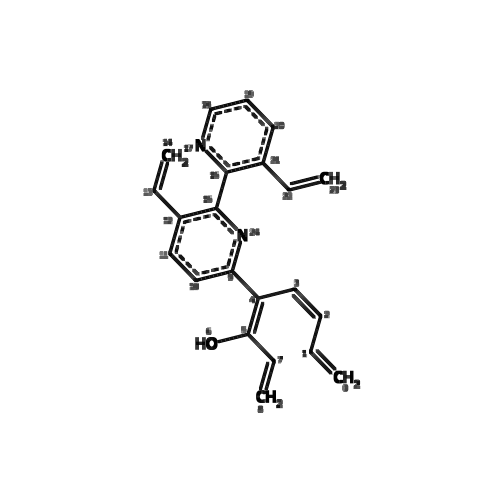 C=C/C=C\C(=C(\O)C=C)c1ccc(C=C)c(-c2ncccc2C=C)n1